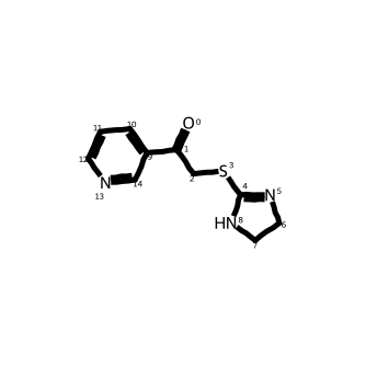 O=C(CSC1=NCCN1)c1cccnc1